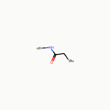 CC[CH]NC(=O)CC(C)(C)C